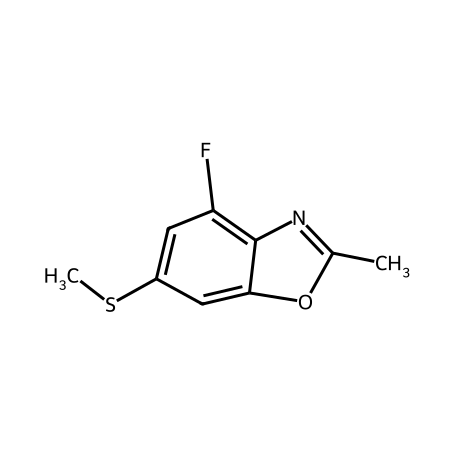 CSc1cc(F)c2nc(C)oc2c1